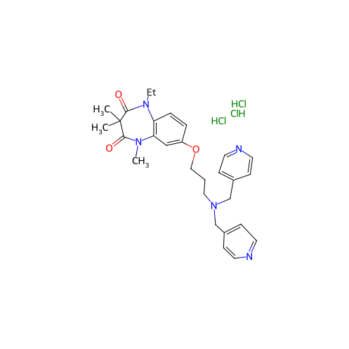 CCN1C(=O)C(C)(C)C(=O)N(C)c2cc(OCCCN(Cc3ccncc3)Cc3ccncc3)ccc21.Cl.Cl.Cl